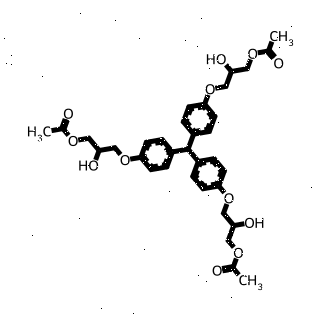 CC(=O)OCC(O)COc1ccc(C(c2ccc(OCC(O)COC(C)=O)cc2)c2ccc(OCC(O)COC(C)=O)cc2)cc1